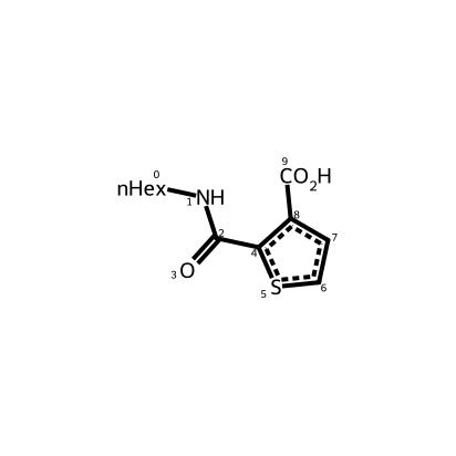 CCCCCCNC(=O)c1sccc1C(=O)O